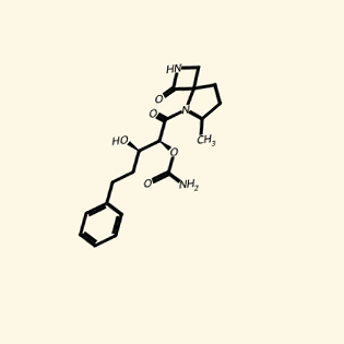 CC1CCC2(CNC2=O)N1C(=O)[C@@H](OC(N)=O)[C@H](O)CCc1ccccc1